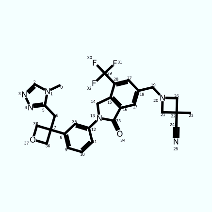 Cn1cnnc1CC1(c2cccc(N3Cc4c(cc(CN5CC(C)(C#N)C5)cc4C(F)(F)F)C3=O)c2)COC1